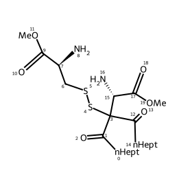 CCCCCCCC(=O)C(SSC[C@H](N)C(=O)OC)(C(=O)CCCCCCC)[C@H](N)C(=O)OC